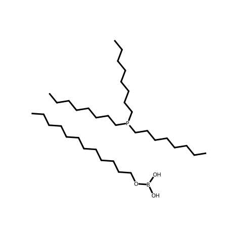 CCCCCCCCCCCCOB(O)O.CCCCCCCCP(CCCCCCCC)CCCCCCCC